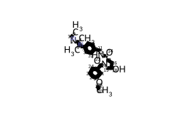 C/C=N\C(C)=C(/C)c1ccc(CNC(=O)[C@@H]2C[C@@H](O)CN2C(=O)c2cccc(OCC)c2)cc1